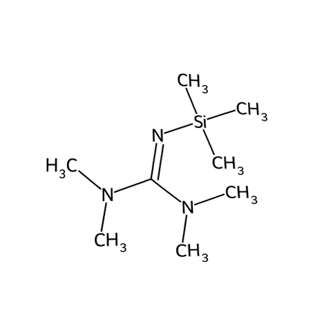 CN(C)C(=N[Si](C)(C)C)N(C)C